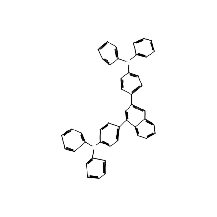 c1ccc(N(c2ccccc2)c2ccc(-c3cc(-c4ccc(N(c5ccccc5)c5ccccc5)cc4)c4ccccc4c3)cc2)cc1